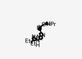 CCC(CC)c1cnnc(Nc2ccc3ncc(-c4cnn(CCOC5CN(C(C)C)C5)c4)cc3n2)c1